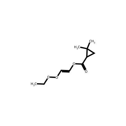 CCOOC=COC(=O)C1CC1(C)C